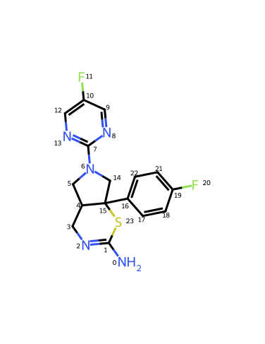 NC1=NCC2CN(c3ncc(F)cn3)CC2(c2ccc(F)cc2)S1